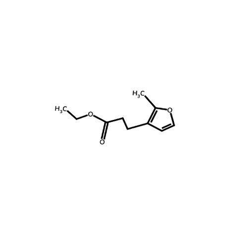 CCOC(=O)CCc1ccoc1C